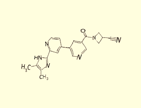 Cc1nc(-c2cc(-c3cncc(C(=O)N4CC(C#N)C4)c3)ccn2)[nH]c1C